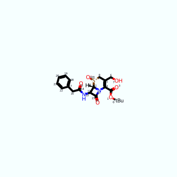 CC(C)(C)OC(=O)C1=C(CO)C[S+]([O-])[C@H]2C(NC(=O)Cc3ccccc3)C(=O)N12